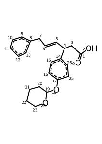 O=C(O)CC(/C=C/Cc1ccccc1)c1ccc(OC2CCCCO2)cc1